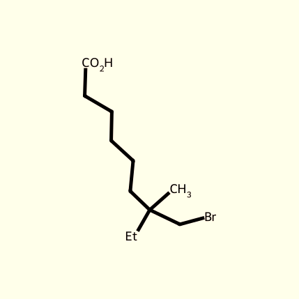 CCC(C)(CBr)CCCCCC(=O)O